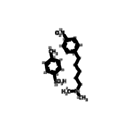 CN(C)CCCCCc1ccc([N+](=O)[O-])cc1.Cc1ccc(S(=O)(=O)O)cc1